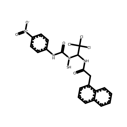 O=C(Cc1cccc2ccccc12)NC(N(S)C(=O)Nc1ccc([N+](=O)[O-])cc1)C(Cl)(Cl)Cl